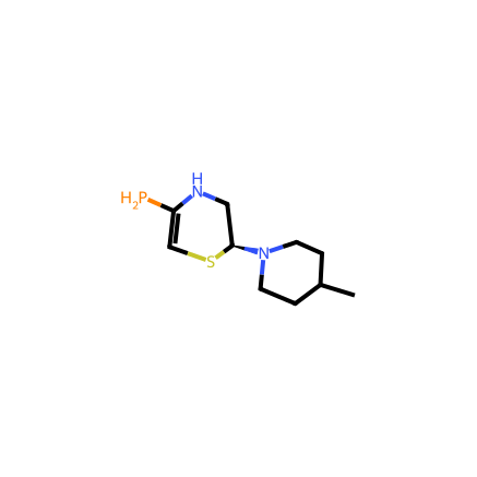 CC1CCN([C@@H]2CNC(P)=CS2)CC1